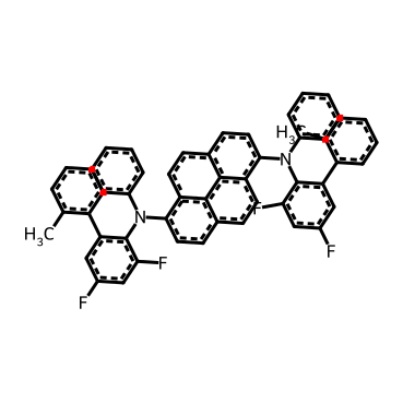 Cc1ccccc1-c1cc(F)cc(F)c1N(c1ccccc1)c1ccc2ccc3c(N(c4ccccc4)c4c(F)cc(F)cc4-c4ccccc4C)ccc4ccc1c2c43